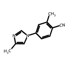 Cc1cn(-c2ccc(C#N)c(C)c2)cn1